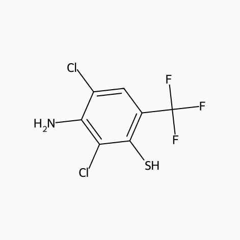 Nc1c(Cl)cc(C(F)(F)F)c(S)c1Cl